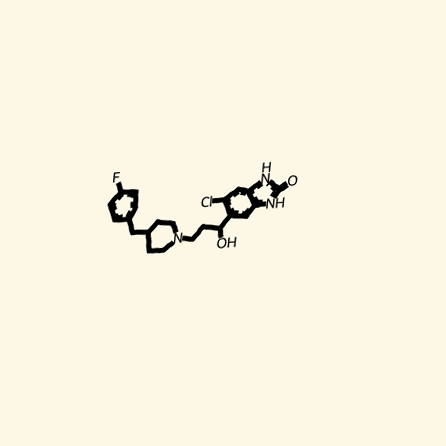 O=c1[nH]c2cc(Cl)c(C(O)CCN3CCC(Cc4ccc(F)cc4)CC3)cc2[nH]1